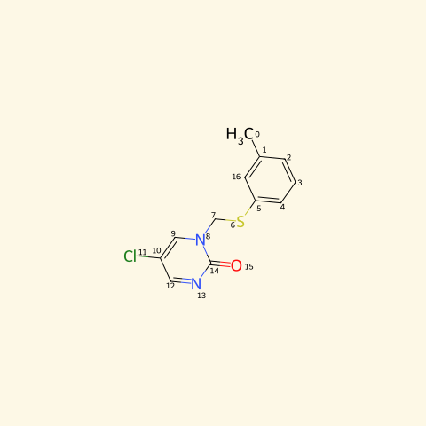 Cc1cccc(SCn2cc(Cl)cnc2=O)c1